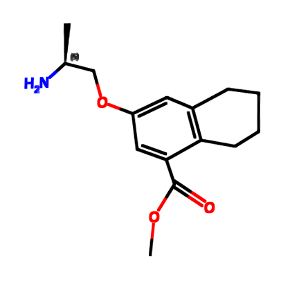 COC(=O)c1cc(OC[C@H](C)N)cc2c1CCCC2